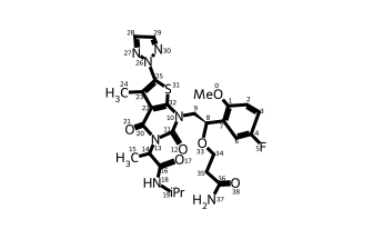 COc1ccc(F)cc1[C@H](Cn1c(=O)n(C(C)C(=O)NC(C)C)c(=O)c2c(C)c(-n3nccn3)sc21)OCCC(N)=O